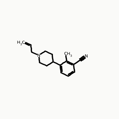 C=CCN1CCC(c2cccc(C#N)c2C)CC1